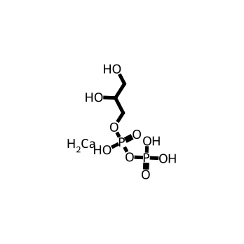 O=P(O)(O)OP(=O)(O)OCC(O)CO.[CaH2]